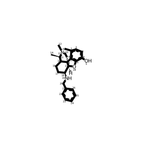 Cc1ccc(O)c2c1[C@]13CCN(C)[C@H](C)C1CC[C@H](NCc1ccccc1)[C@@H]3O2